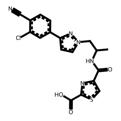 CC(Cn1ccc(-c2ccc(C#N)c(Cl)c2)n1)NC(=O)c1csc(C(=O)O)n1